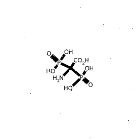 NC(C(=O)O)(P(=O)(O)O)P(=O)(O)O